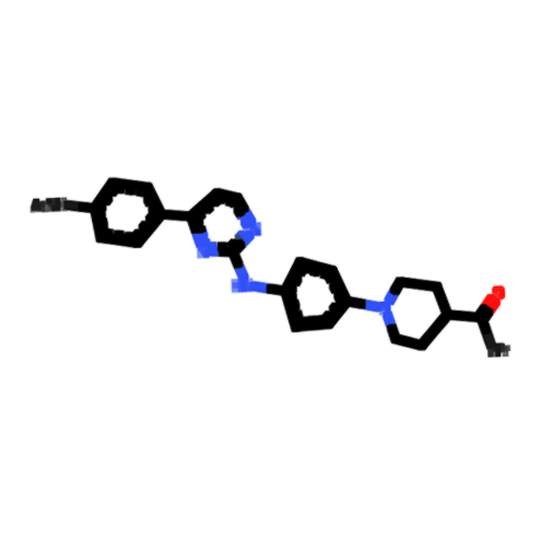 CCCC(=O)C1CCN(c2ccc(Nc3nccc(-c4ccc(NC(C)=O)cc4)n3)cc2)CC1